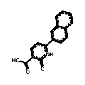 O=C(O)c1ccc(-c2ccc3ccccc3c2)[nH]c1=O